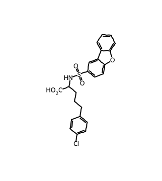 O=C(O)C(CCCc1ccc(Cl)cc1)NS(=O)(=O)c1ccc2oc3ccccc3c2c1